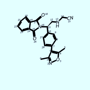 Cc1noc(C)c1-c1ccc([C@H](CNCC#N)N2C(=O)c3ccccc3C2=O)cc1